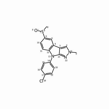 Cn1cc2c3cc([S+](C)[O-])ccc3n(-c3ccc(Cl)cc3)c2n1